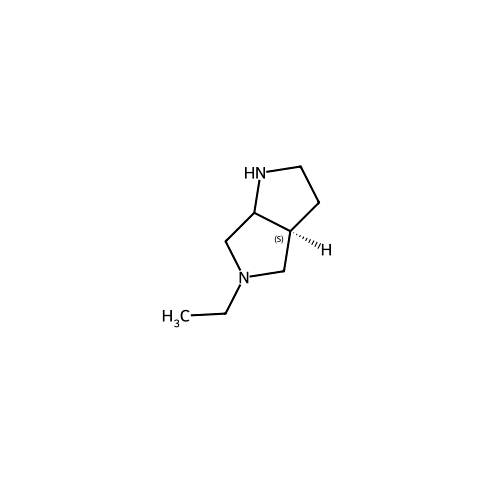 CCN1CC2NCC[C@H]2C1